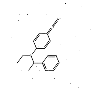 CCN(C1C=CC(=[N+]=[N-])C=C1)C(C)c1ccccc1